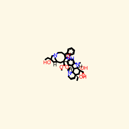 CC[C@]1(O)C[C@H]2CN(CCc3c([nH]c4ccccc34)[C@@](C(=O)OC)(c3cc4c(cc3OC)N(C)[C@H]3[C@@](O)(C=O)[C@H](O)[C@]5(CC)C=CCN6CC[C@]43[C@H]65)C2)C1